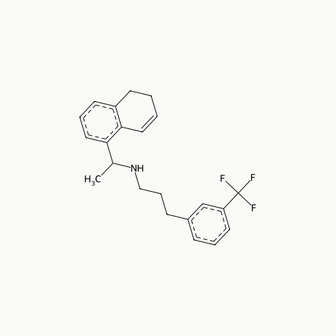 CC(NCCCc1cccc(C(F)(F)F)c1)c1cccc2c1C=CCC2